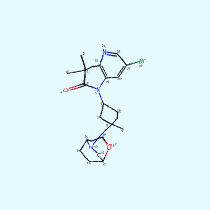 CC1(C)C(=O)N(C2CC(C)(N3CC4CCC3CO4)C2)c2cc(Br)cnc21